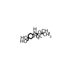 CC(C)(C)OC(=O)NC1CCC(O)(CO)CC1